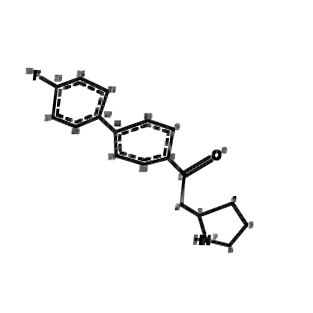 O=C(CC1CCCN1)c1ccc(-c2ccc(F)cc2)cc1